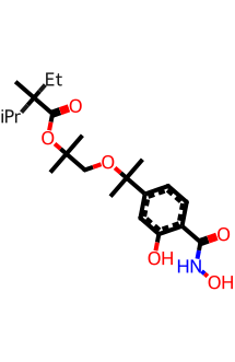 CCC(C)(C(=O)OC(C)(C)COC(C)(C)c1ccc(C(=O)NO)c(O)c1)C(C)C